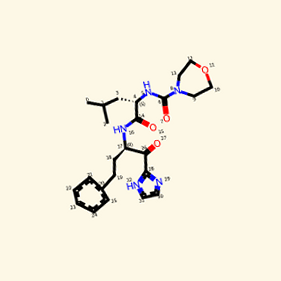 CC(C)C[C@H](NC(=O)N1CCOCC1)C(=O)N[C@H](CCc1ccccc1)C(=O)c1ncc[nH]1